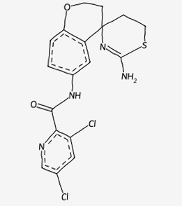 NC1=NC2(CCOc3ccc(NC(=O)c4ncc(Cl)cc4Cl)cc32)CCS1